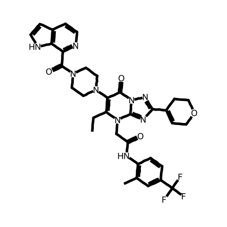 CCc1c(N2CCN(C(=O)c3nccc4cc[nH]c34)CC2)c(=O)n2nc(C3=CCOCC3)nc2n1CC(=O)Nc1ccc(C(F)(F)F)cc1C